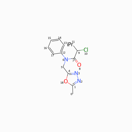 Cc1nnc(CN(C(=O)C(Cl)C(C)C)c2ccccc2)o1